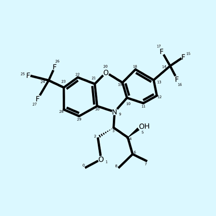 COC[C@@H]([C@@H](O)C(C)C)N1c2ccc(C(F)(F)F)cc2Oc2cc(C(F)(F)F)ccc21